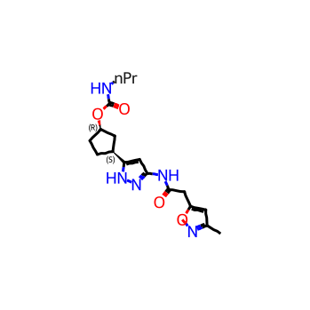 CCCNC(=O)O[C@@H]1CC[C@H](c2cc(NC(=O)Cc3cc(C)no3)n[nH]2)C1